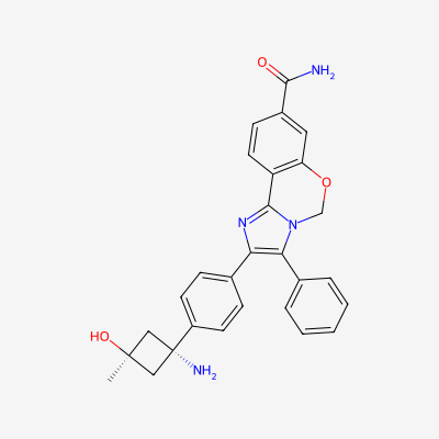 C[C@]1(O)C[C@@](N)(c2ccc(-c3nc4n(c3-c3ccccc3)COc3cc(C(N)=O)ccc3-4)cc2)C1